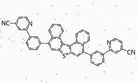 N#Cc1ccnc(-c2cccc(-c3cc4sc5cc(-c6cccc(-c7cc(C#N)ccn7)c6)c6ccccc6c5c4c4ccccc34)c2)c1